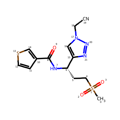 CS(=O)(=O)CC[C@H](NC(=O)c1ccsc1)c1cn(CC#N)nn1